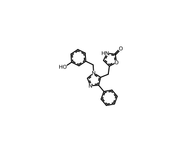 O=c1[nH]cc(Cc2c(-c3ccccc3)ncn2Cc2cccc(O)c2)o1